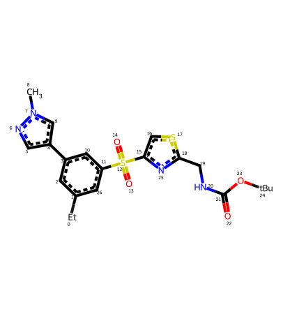 CCc1cc(-c2cnn(C)c2)cc(S(=O)(=O)c2csc(CNC(=O)OC(C)(C)C)n2)c1